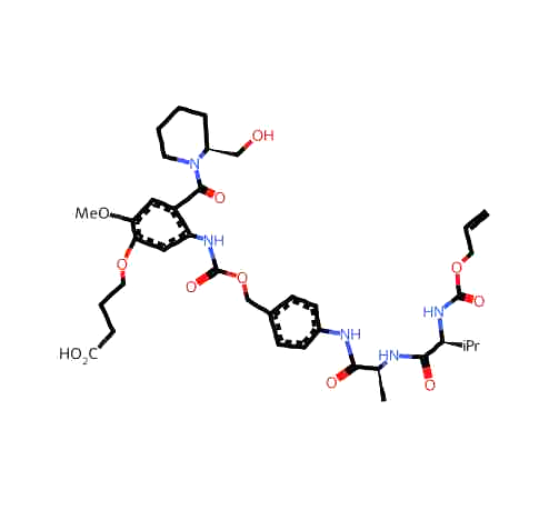 C=CCOC(=O)N[C@H](C(=O)N[C@@H](C)C(=O)Nc1ccc(COC(=O)Nc2cc(OCCCC(=O)O)c(OC)cc2C(=O)N2CCCC[C@H]2CO)cc1)C(C)C